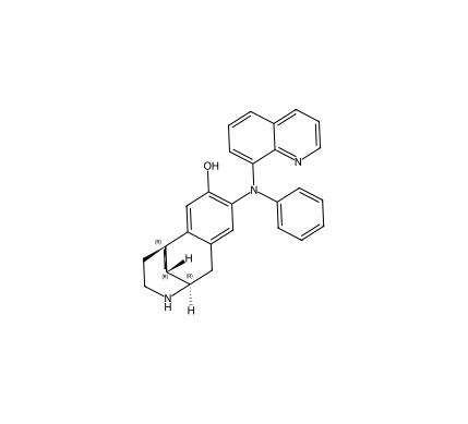 Oc1cc2c(cc1N(c1ccccc1)c1cccc3cccnc13)C[C@H]1NCC[C@@]23CCCC[C@@H]13